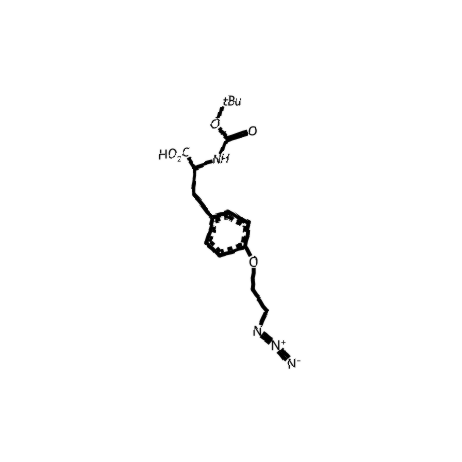 CC(C)(C)OC(=O)NC(Cc1ccc(OCCN=[N+]=[N-])cc1)C(=O)O